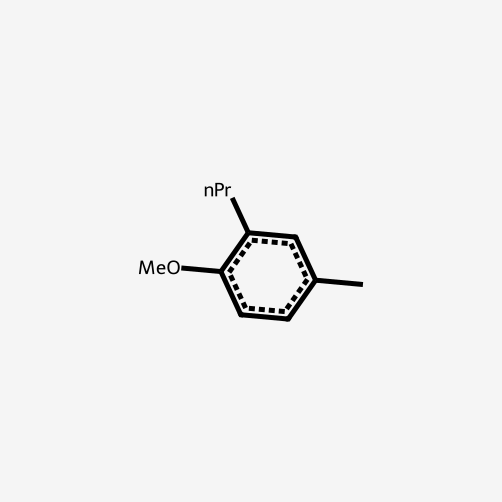 CCCc1cc(C)ccc1OC